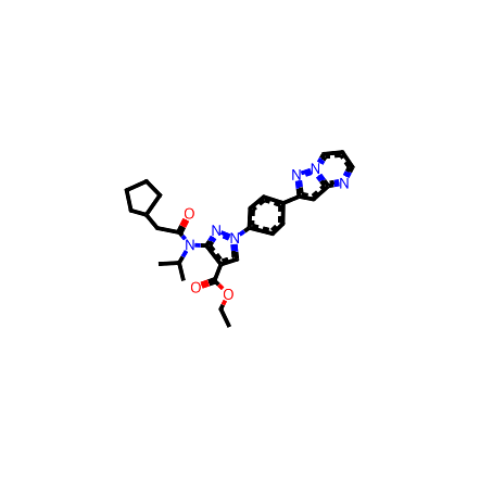 CCOC(=O)c1cn(-c2ccc(-c3cc4ncccn4n3)cc2)nc1N(C(=O)CC1CCCC1)C(C)C